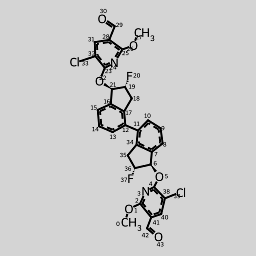 COc1nc(O[C@@H]2c3cccc(-c4cccc5c4C[C@@H](F)[C@@H]5Oc4nc(OC)c(C=O)cc4Cl)c3C[C@H]2F)c(Cl)cc1C=O